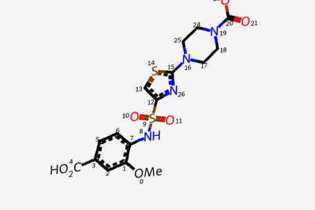 COc1cc(C(=O)O)ccc1NS(=O)(=O)c1csc(N2CCN(C(=O)OC(C)C)CC2)n1